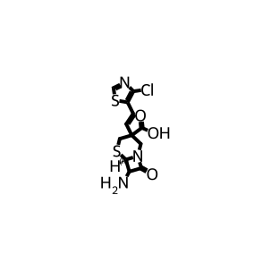 NC1C(=O)N2CC(C=Cc3scnc3Cl)(C(=O)O)CS[C@H]12